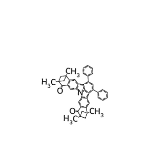 CC12CC(C)(C1)c1cc3c4c(-c5ccccc5)cc(-c5ccccc5)c5c6cc7c(cc6n(c3cc1C2=O)c45)C(=O)C1(C)CC7(C)C1